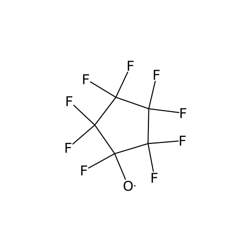 [O]C1(F)C(F)(F)C(F)(F)C(F)(F)C1(F)F